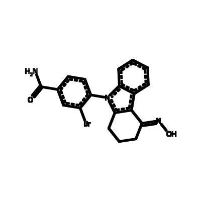 NC(=O)c1ccc(-n2c3c(c4ccccc42)C(=NO)CCC3)c(Br)c1